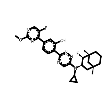 COc1ncc(F)c(-c2ccc(-c3ncc(N(C4CC4)[C@@H]4C[C@@]5(C)CCC[C@](C)(C5)[C@@H]4F)nn3)c(O)c2)n1